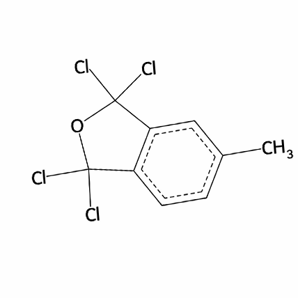 Cc1ccc2c(c1)C(Cl)(Cl)OC2(Cl)Cl